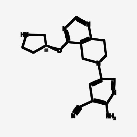 N#Cc1cc(N2CCc3ncnc(O[C@H]4CCNC4)c3C2)cnc1N